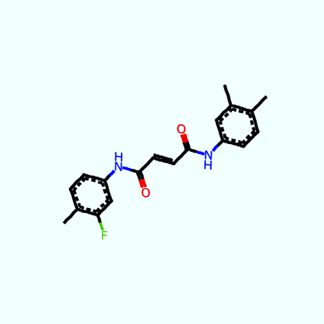 Cc1ccc(NC(=O)C=CC(=O)Nc2ccc(C)c(F)c2)cc1C